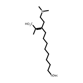 CCCCCCCCCCCCCCCCCCC(CCN(C)C)=C(C)C(=O)O